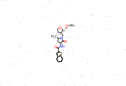 CCCCOC[C@H]1OCC[C@@H]1CN1C(=O)[C@@H](NC(=O)c2cc3ccccc3s2)CC1C